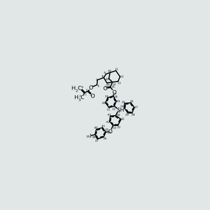 C=C(C)C(=O)OCCC1CC2CCCC(C(=O)Oc3cccc([SH](c4ccccc4)c4ccc(Oc5ccc(I)cc5)cc4)c3)(C2)C1